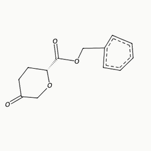 O=C1CC[C@H](C(=O)OCc2ccccc2)OC1